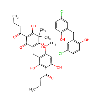 CCCC(=O)C1=C(O)C(C)(C)C(O)=C(Cc2c(OC)cc(O)c(C(=O)CCC)c2O)C1=O.Oc1ccc(Cl)cc1Cc1cc(Cl)ccc1O